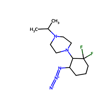 CC(C)N1CCN(C2C(N=[N+]=[N-])CCCC2(F)F)CC1